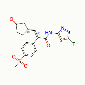 CS(=O)(=O)c1ccc(/C(=C\[C@H]2CCC(=O)C2)C(=O)Nc2ncc(F)s2)cc1